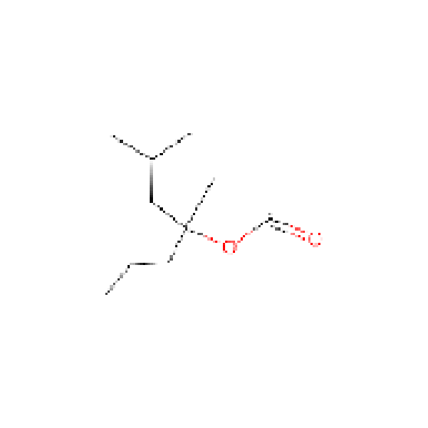 CCCC(C)(CC(C)C)O[C]=O